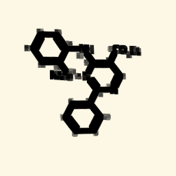 CCOC(=O)c1cnc(-c2ccccc2)nc1Nc1ccccc1NC